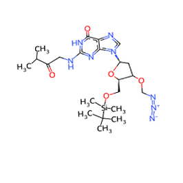 CC(C)C(=O)CNc1nc2c(ncn2[C@H]2CC(OCN=[N+]=[N-])[C@@H](CO[Si](C)(C)C(C)(C)C)O2)c(=O)[nH]1